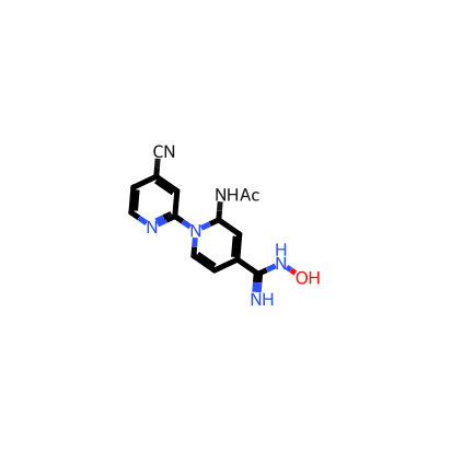 CC(=O)NC1C=C(C(=N)NO)C=CN1c1cc(C#N)ccn1